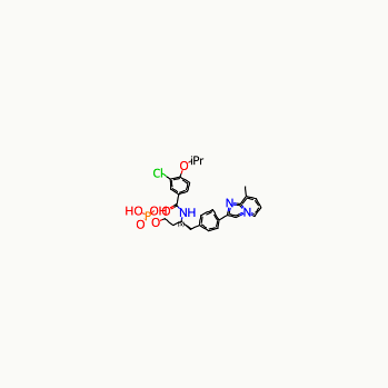 Cc1cccn2cc(-c3ccc(C[C@@H](CCOP(=O)(O)O)NC(=O)c4ccc(OC(C)C)c(Cl)c4)cc3)nc12